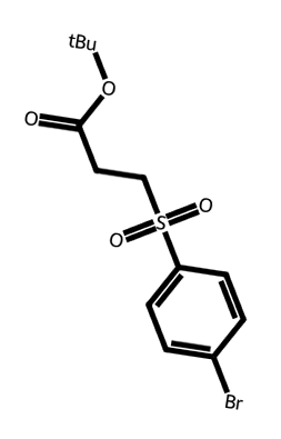 CC(C)(C)OC(=O)CCS(=O)(=O)c1ccc(Br)cc1